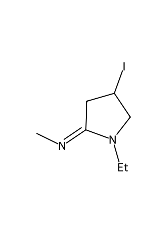 CCN1CC(I)C/C1=N\C